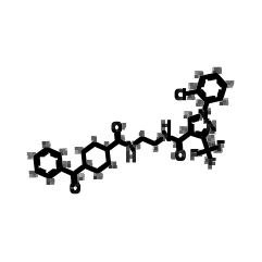 O=C(NCCNC(=O)C1CCC(C(=O)c2ccccc2)CC1)c1cn(-c2ccccc2Cl)nc1C(F)(F)F